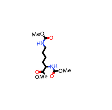 COC(=O)NCCCCC(NC(=O)OC)C(=O)OC